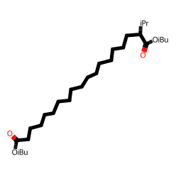 CC(C)COC(=O)CCCCCCCCCCCCCCCCC(C(=O)OCC(C)C)C(C)C